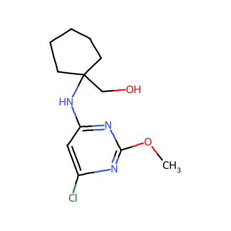 COc1nc(Cl)cc(NC2(CO)CCCCC2)n1